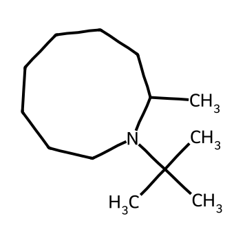 CC1CCCCCCCN1C(C)(C)C